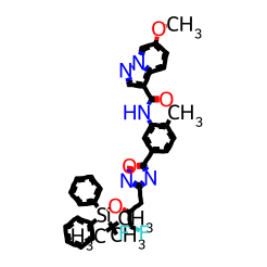 COc1ccc2c(C(=O)Nc3cc(-c4nc(CC(O[Si](c5ccccc5)(c5ccccc5)C(C)(C)C)C(F)F)no4)ccc3C)cnn2c1